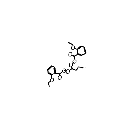 [CH2]CC[C](OOC(=O)c1ccccc1OCC)OOC(=O)c1ccccc1OCC